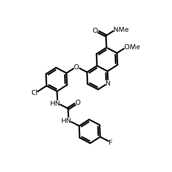 CNC(=O)c1cc2c(Oc3ccc(Cl)c(NC(=O)Nc4ccc(F)cc4)c3)ccnc2cc1OC